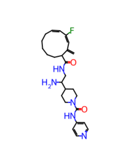 C=C1/C=C(F)\C=C/CCCCCC1C(=O)NCC(N)C1CCN(C(=O)Nc2ccncc2)CC1